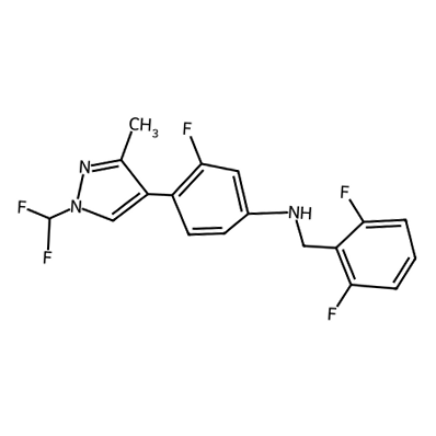 Cc1nn(C(F)F)cc1-c1ccc(NCc2c(F)cccc2F)cc1F